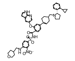 O=C(NS(=O)(=O)c1ccc(NCC2CCOCC2)c([N+](=O)[O-])c1)c1ccc(C2=CCC(CN3CCC[C@H]3c3ccccc3C3CC3)CC2)cc1Oc1cnc2[nH]ccc2c1